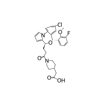 COc1c(F)cccc1[C@@H]1O[C@@H](CCC(=O)N2CCC(CC(=O)O)CC2)c2cccn2-c2ccc(Cl)cc21